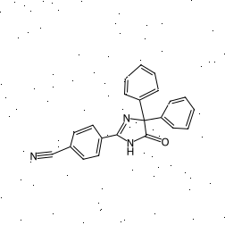 N#Cc1ccc(C2=NC(c3ccccc3)(c3ccccc3)C(=O)N2)cc1